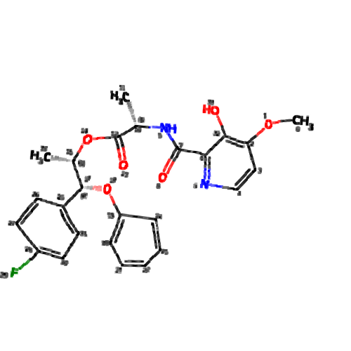 COc1ccnc(C(=O)N[C@@H](C)C(=O)O[C@@H](C)[C@H](Oc2ccccc2)c2ccc(F)cc2)c1O